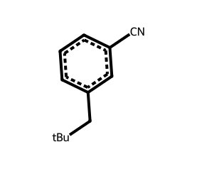 CC(C)(C)Cc1cccc(C#N)c1